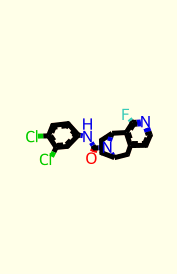 O=C(Nc1ccc(Cl)c(Cl)c1)N1C2CCC1c1c(ccnc1F)C2